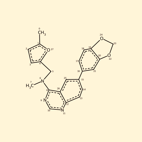 Cc1ccc(CN(C)c2ncnc3ccc(-c4ccc5c(c4)OCO5)cc23)o1